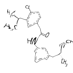 C#C[C@H](C)c1cccc(NC(=O)c2ccc(Cl)c(C(C)C)c2)c1